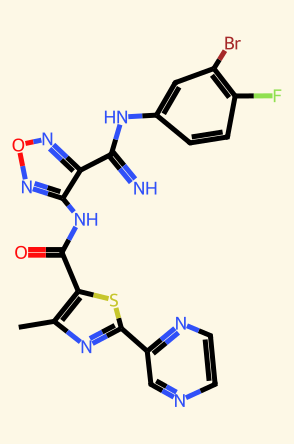 Cc1nc(-c2cnccn2)sc1C(=O)Nc1nonc1C(=N)Nc1ccc(F)c(Br)c1